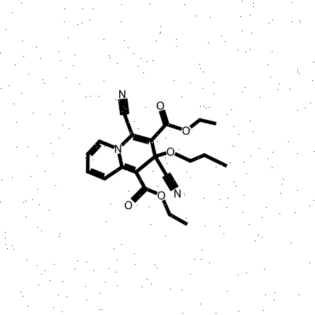 CCCOC1(C#N)C(C(=O)OCC)=C(C#N)N2C=CC=CC2=C1C(=O)OCC